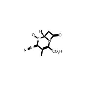 CC1=C(C(=O)O)N2C(=O)C[C@H]2[S+]([O-])C1=[N+]=[N-]